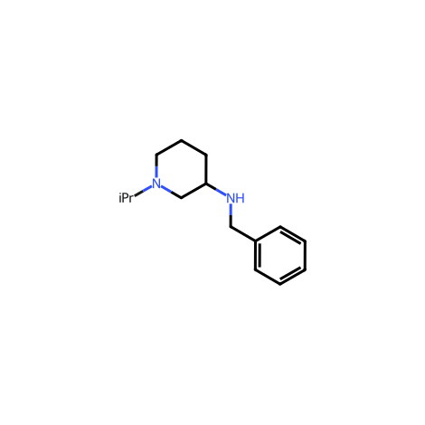 CC(C)N1CCCC(NCc2ccccc2)C1